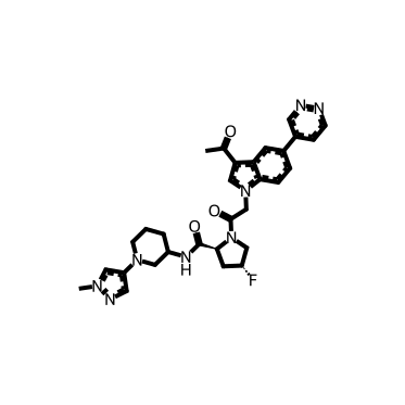 CC(=O)c1cn(CC(=O)N2C[C@H](F)C[C@H]2C(=O)NC2CCCN(c3cnn(C)c3)C2)c2ccc(-c3ccnnc3)cc12